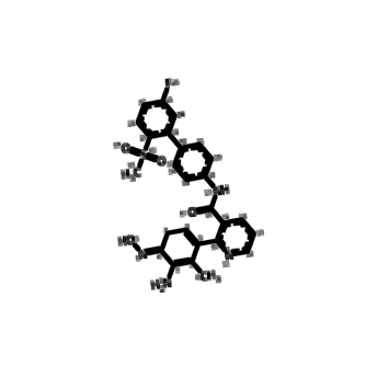 CC1=C(N)C(=NO)CC=C1c1ncccc1C(=O)Nc1ccc(-c2cc(F)ccc2S(C)(=O)=O)cc1